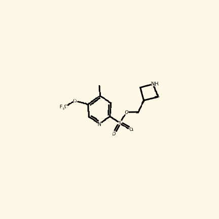 Cc1cc(S(=O)(=O)OCC2CNC2)ncc1OC(F)(F)F